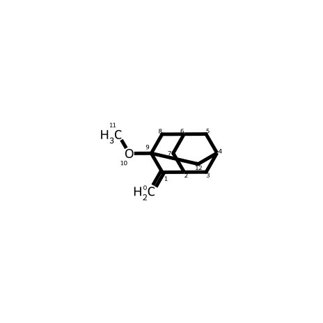 C=C1C2CC3CC(C2)CC1(OC)C3